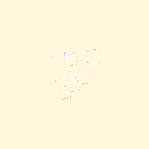 CCN(C(C)Cc1cccc(C(F)(F)F)c1)C(C(=O)N1CCCCC1)C1CCNCC1.Cl